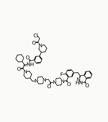 O=C(N[C@@H](C(=O)N1CCC(CN2CCN(CC(=O)N3CCN(C(=O)c4cc(Cc5n[nH]c(=O)c6ccccc56)ccc4F)CC3)CC2)CC1)C1CCCCC1)c1cccc(C2CCCN(C(=O)CCl)C2)c1